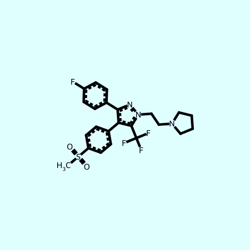 CS(=O)(=O)c1ccc(-c2c(-c3ccc(F)cc3)nn(CCN3CCCC3)c2C(F)(F)F)cc1